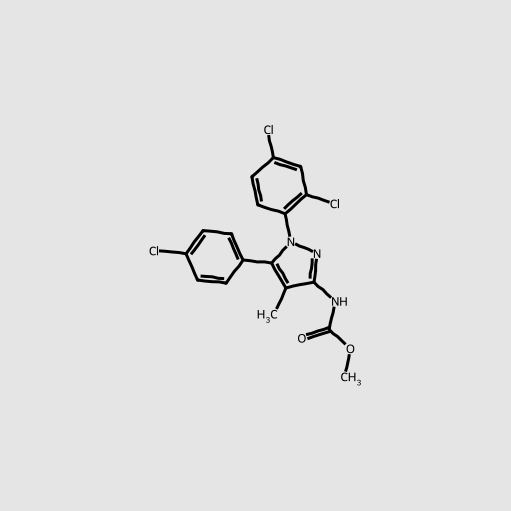 COC(=O)Nc1nn(-c2ccc(Cl)cc2Cl)c(-c2ccc(Cl)cc2)c1C